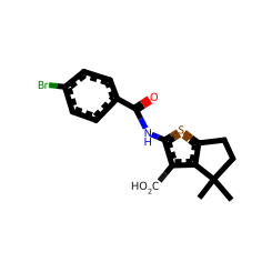 CC1(C)CCc2sc(NC(=O)c3ccc(Br)cc3)c(C(=O)O)c21